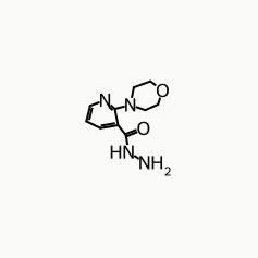 NNC(=O)c1cccnc1N1CCOCC1